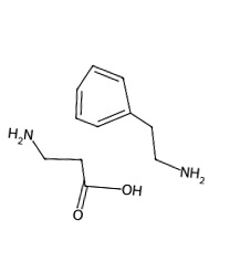 NCCC(=O)O.NCCc1ccccc1